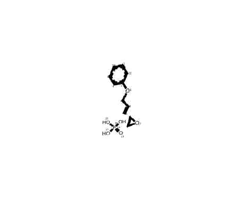 C1CO1.C=CCOc1ccccc1.O=P(O)(O)O